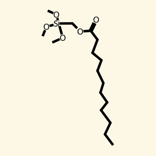 CCCCCCCCCCCC(=O)OC[Si](OC)(OC)OC